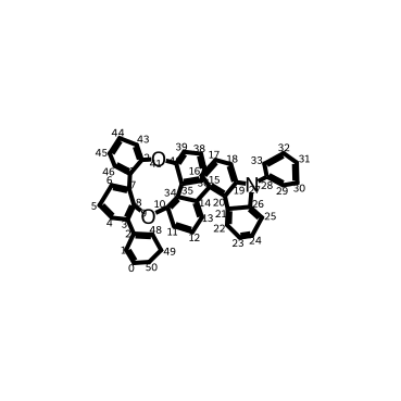 C1=CC(c2cccc3c2Oc2cccc(-c4cccc5c4c4ccccc4n5-c4ccccc4)c2-c2ccccc2Oc2ccccc2-3)=CCC1